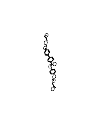 O=C(Oc1ccc(OCOCC2CO2)cc1)c1ccc(-c2ccc(OCOCC3CO3)cc2)cc1